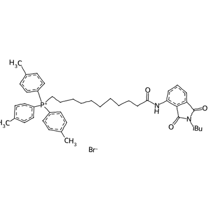 CCC(C)N1C(=O)c2cccc(NC(=O)CCCCCCCCCC[P+](c3ccc(C)cc3)(c3ccc(C)cc3)c3ccc(C)cc3)c2C1=O.[Br-]